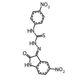 O=C1Nc2ccc([N+](=O)[O-])cc2/C1=N/NC(=S)Nc1ccc([N+](=O)[O-])cc1